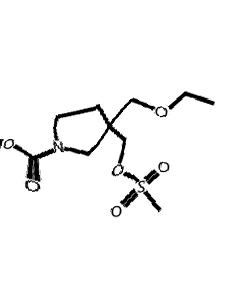 CCOCC1(COS(C)(=O)=O)CCN(C(=O)O)C1